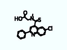 CN(CC(=O)O)C(=S)c1cc(-c2ccccc2)nc2ccc(Cl)cc12